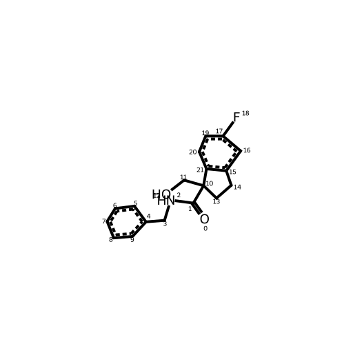 O=C(NCc1ccccc1)C1(CO)CCc2cc(F)ccc21